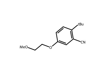 COCCOc1ccc(C(C)(C)C)c(C#N)c1